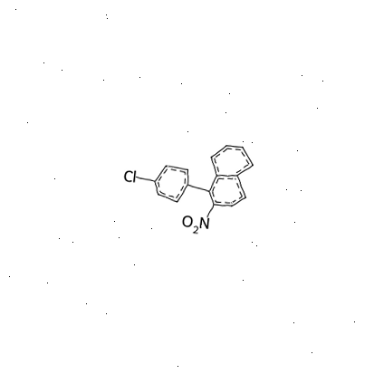 O=[N+]([O-])c1ccc2ccccc2c1-c1ccc(Cl)cc1